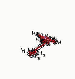 Cc1nn(-c2ccc(C(N)=O)c(NCCCOCCOCCOCCOCCOCCCNCc3ccc(C4=C(/C=C/C5=[N+](CCCCS(=O)(=O)[O-])c6ccc7cc(S(=O)(=O)O)ccc7c6C5(C)C)CCC/C4=C\C=C4/N(CCCCS(=O)(=O)O)c5ccc6cc(S(=O)(=O)O)ccc6c5C4(C)C)cc3)c2)c2c1C(=O)CC(C)(C)C2